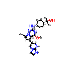 [2H]c1cc(-c2cnc3nccn3c2)c2c(OC)nc(N[C@H]3CC[C@H](C(C)(C)O)CC3)nn12